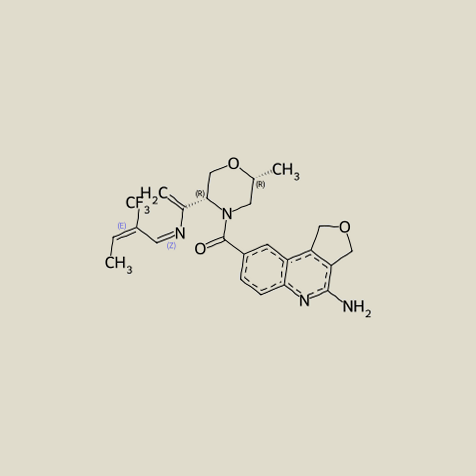 C=C(/N=C\C(=C/C)C(F)(F)F)[C@@H]1CO[C@H](C)CN1C(=O)c1ccc2nc(N)c3c(c2c1)COC3